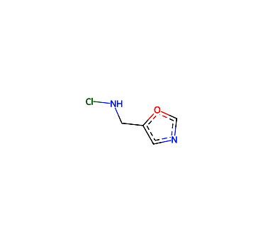 ClNCc1cnco1